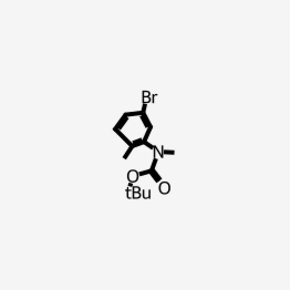 Cc1ccc(Br)cc1N(C)C(=O)OC(C)(C)C